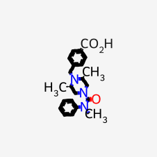 C[C@@H]1CN(C(=O)N(C)c2ccccc2)C[C@H](C)N1Cc1ccc(C(=O)O)cc1